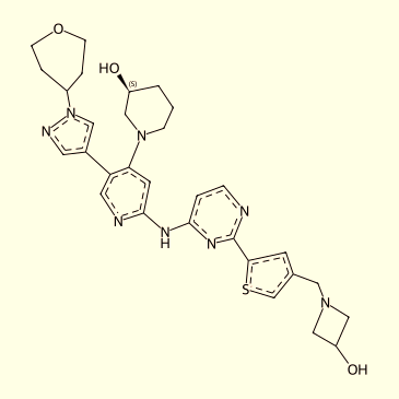 OC1CN(Cc2csc(-c3nccc(Nc4cc(N5CCC[C@H](O)C5)c(-c5cnn(C6CCOCC6)c5)cn4)n3)c2)C1